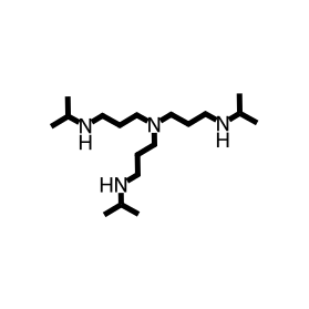 CC(C)NCCCN(CCCNC(C)C)CCCNC(C)C